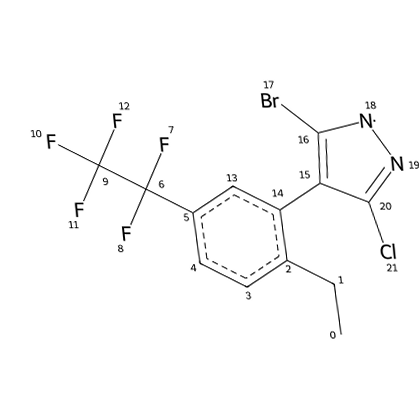 CCc1ccc(C(F)(F)C(F)(F)F)cc1C1=C(Br)[N]N=C1Cl